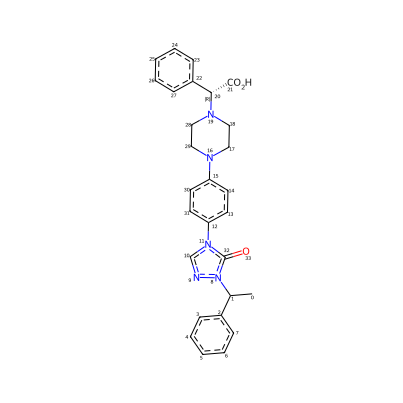 CC(c1ccccc1)n1ncn(-c2ccc(N3CCN([C@@H](C(=O)O)c4ccccc4)CC3)cc2)c1=O